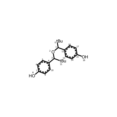 CC(C)(C)C(OC(c1ccc(O)cc1)C(C)(C)C)c1ccc(O)cc1